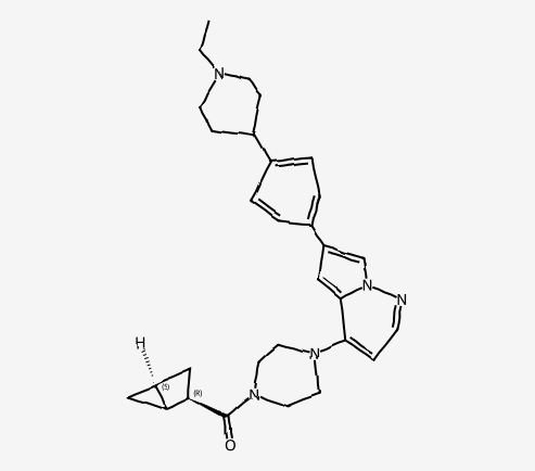 CCN1CCC(c2ccc(-c3cc4c(N5CCN(C(=O)[C@@H]6C[C@@H]7CC76)CC5)ccnn4c3)cc2)CC1